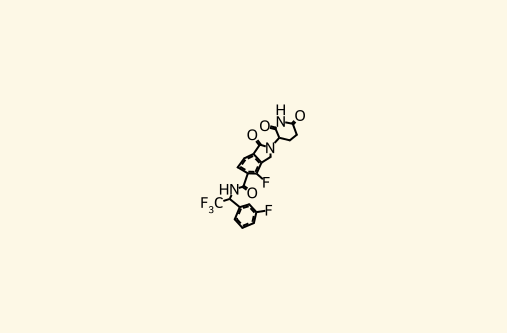 O=C1CCC(N2Cc3c(ccc(C(=O)NC(c4cccc(F)c4)C(F)(F)F)c3F)C2=O)C(=O)N1